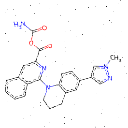 Cn1cc(-c2ccc3c(c2)CCCN3c2nc(C(=O)OC(N)=O)cc3ccccc23)cn1